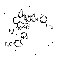 Cn1ncc2ccc(OC(F)(F)F)c(N(S(=O)(=O)c3cnn(-c4cc(C(F)(F)F)ccn4)c3)S(=O)(=O)c3cnn(-c4cc(C(F)(F)F)ccn4)c3)c21